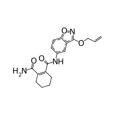 C=CCOc1noc2ccc(NC(=O)C3=C(C(N)=O)CCCC3)cc12